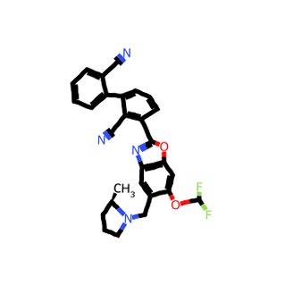 C[C@@H]1CCCN1Cc1cc2nc(-c3cccc(-c4ccccc4C#N)c3C#N)oc2cc1OC(F)F